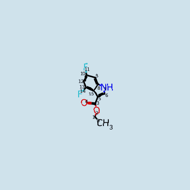 CCOC(=O)c1c[nH]c2cc(F)cc(F)c12